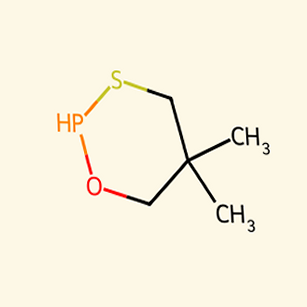 CC1(C)COPSC1